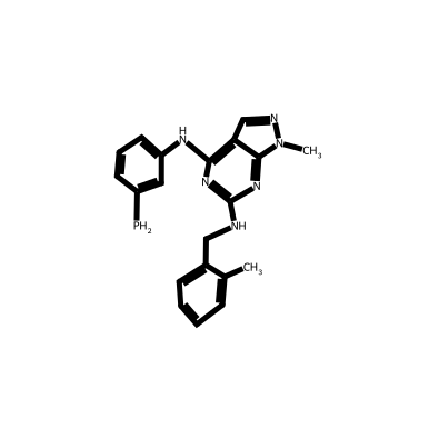 Cc1ccccc1CNc1nc(Nc2cccc(P)c2)c2cnn(C)c2n1